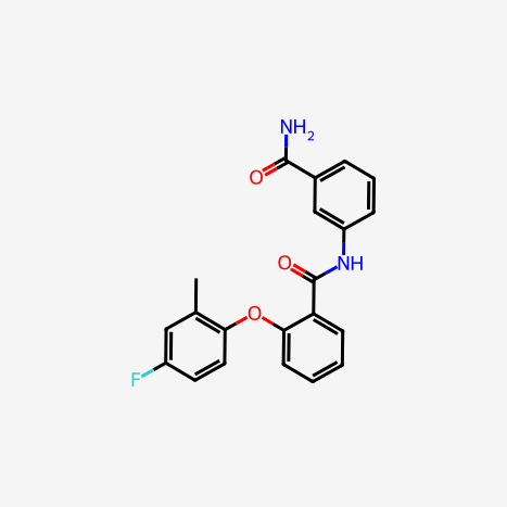 Cc1cc(F)ccc1Oc1ccccc1C(=O)Nc1cccc(C(N)=O)c1